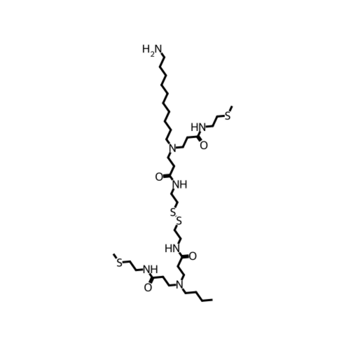 CCCCN(CCC(=O)NCCSC)CCC(=O)NCCSSCCNC(=O)CCN(CCCCCCCCCCN)CCC(=O)NCCSC